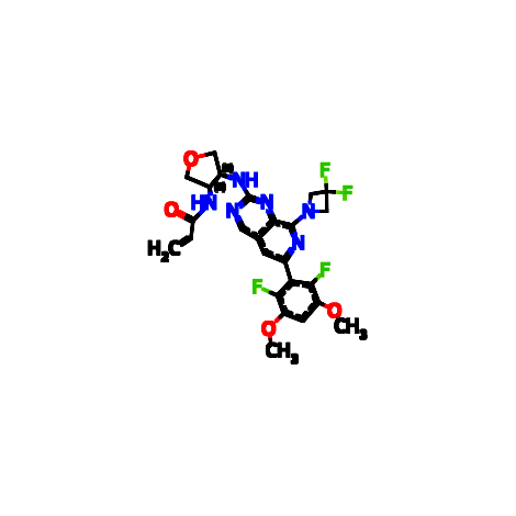 C=CC(=O)N[C@H]1COC[C@H]1Nc1ncc2cc(-c3c(F)c(OC)cc(OC)c3F)nc(N3CC(F)(F)C3)c2n1